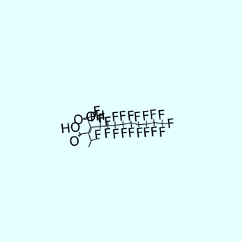 CC(C)C(C(=O)O)=C(C(=O)O)C(F)(C(F)(F)F)C(F)(F)C(F)(F)C(F)(F)C(F)(F)C(F)(F)C(F)(F)C(F)(F)C(F)(F)F